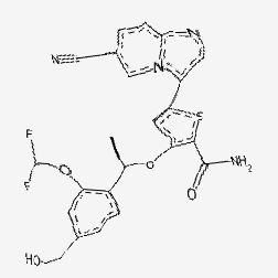 C[C@@H](Oc1cc(-c2cnc3ccc(C#N)cn23)sc1C(N)=O)c1ccc(CO)cc1OC(F)F